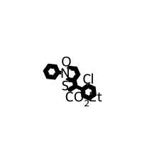 CCOC(=O)c1sc2c(ccc(=O)n2-c2ccccc2)c1-c1ccccc1Cl